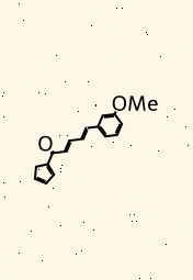 COc1cccc(/C=C/C=C/C(=O)C2=CC=CC2)c1